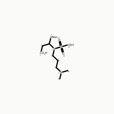 CCCCCCCCCC(CC(=O)O)N(CCCN(C)C)S(=O)(=O)CCCCCCCC